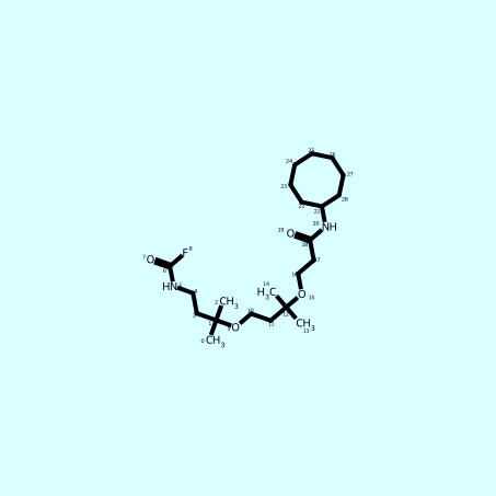 CC(C)(CCNC(=O)F)OCCC(C)(C)OCCC(=O)NC1CCCCCCC1